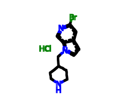 Brc1cc2ccn(CC3CCNCC3)c2cn1.Cl